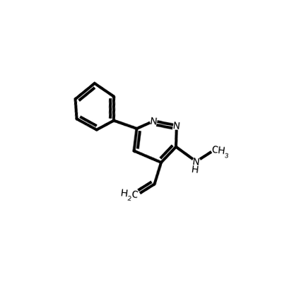 C=Cc1cc(-c2ccccc2)nnc1NC